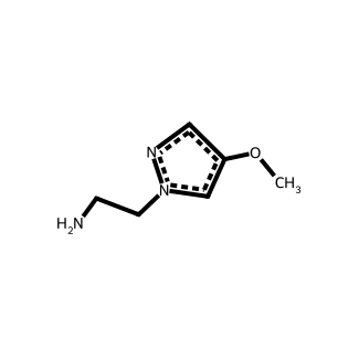 COc1cnn(CCN)c1